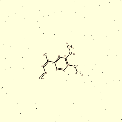 COc1ccc(/C(Cl)=C\C=O)cc1OC